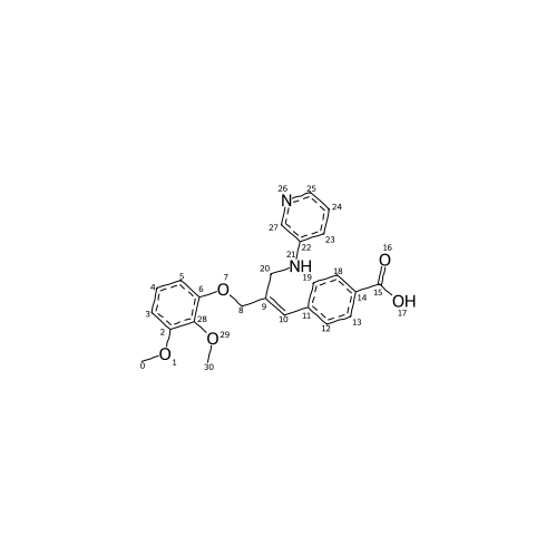 COc1cccc(OCC(=Cc2ccc(C(=O)O)cc2)CNc2cccnc2)c1OC